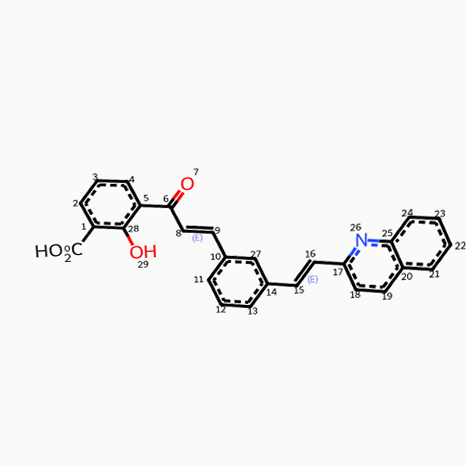 O=C(O)c1cccc(C(=O)/C=C/c2cccc(/C=C/c3ccc4ccccc4n3)c2)c1O